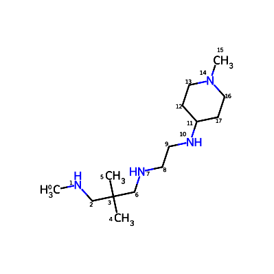 CNCC(C)(C)CNCCNC1CCN(C)CC1